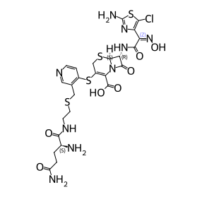 NC(=O)CC[C@H](N)C(=O)NCCSCc1cnccc1SC1=C(C(=O)O)N2C(=O)[C@@H](NC(=O)/C(=N\O)c3nc(N)sc3Cl)[C@@H]2SC1